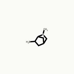 BC1CC2CC1N(C)C2